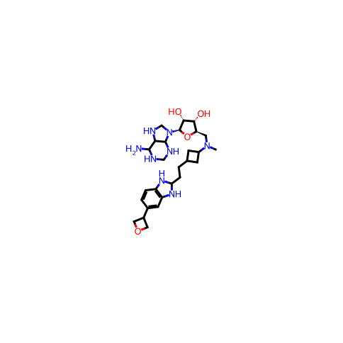 CN(C[C@H]1O[C@@H](N2CNC3C(N)NCNC32)[C@H](O)[C@@H]1O)C1CC(CCC2Nc3ccc(C4COC4)cc3N2)C1